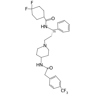 O=C(Cc1ccc(C(F)(F)F)cc1)NC1CCN(CC[C@H](NC(=O)C2CCC(F)(F)CC2)c2ccccc2)CC1